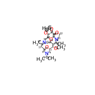 COCC1CN(C(C)C)CC(CC(C)N2CC(CC(C)N3CCO[C@@H](COC)C3)O[C@H](COC)C2)O1